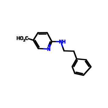 O=C(O)c1ccc(NCCc2ccccc2)nc1